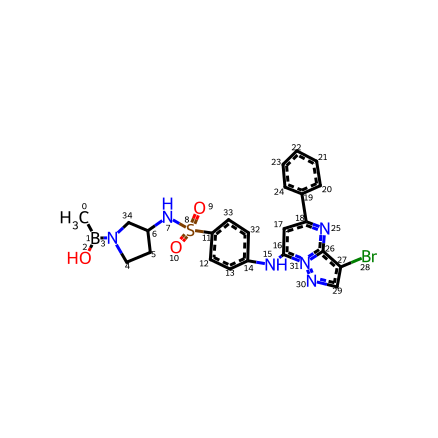 CB(O)N1CCC(NS(=O)(=O)c2ccc(Nc3cc(-c4ccccc4)nc4c(Br)cnn34)cc2)C1